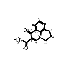 NC(=O)c1cn2c3c(cccc3c1=O)CCC2